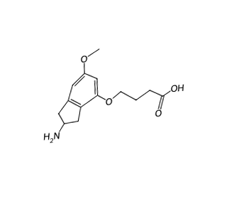 COc1cc2c(c(OCCCC(=O)O)c1)CC(N)C2